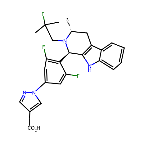 C[C@@H]1Cc2c([nH]c3ccccc23)[C@@H](c2c(F)cc(-n3cc(C(=O)O)cn3)cc2F)N1CC(C)(C)F